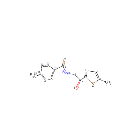 Cc1ccc(C(=O)CNC(=S)c2ccc(C(F)(F)F)cc2)s1